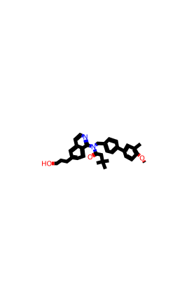 COc1ccc(-c2ccc(CN(C(=O)CC(C)(C)C)c3nccc4cc(CCCO)ccc34)cc2)cc1C